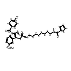 COc1ccc2c(c1)c(CC(=O)NCCCCCCCCNC(=O)C1=CC=CC1)c(C)n2C(=O)c1ccc(Cl)cc1